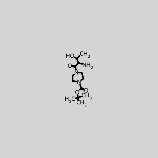 CC(O)C(N)C(=O)N1CCN(C(=O)OC(C)(C)C)CC1